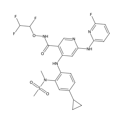 CN(c1cc(C2CC2)ccc1Nc1cc(Nc2cccc(F)n2)ncc1C(=O)NOC(F)C(F)F)S(C)(=O)=O